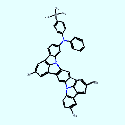 CC(C)(C)c1ccc2c(c1)c1cc(C(C)(C)C)cc3c4cc5c(cc4n2c13)c1cc(C(C)(C)C)cc2c3ccc(N(c4ccccc4)c4ccc([Si](C)(C)C)cc4)cc3n5c21